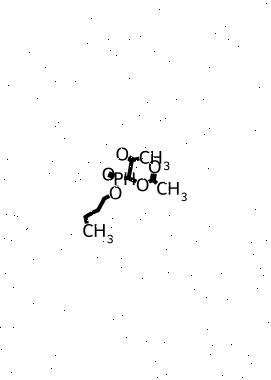 CCCCO[PH](=O)C(OC(C)=O)C(C)=O